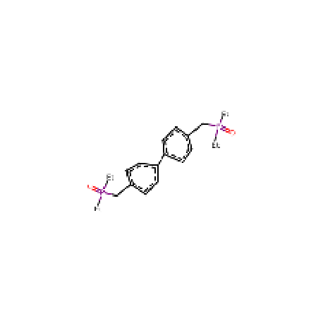 CCP(=O)(CC)Cc1ccc(-c2ccc(CP(=O)(CC)CC)cc2)cc1